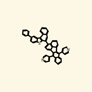 c1ccc(-c2ccc3sc4c(-c5ccc6c7c(cccc57)-c5c-6c(-c6ccncc6)c6ccccc6c5-c5ccncc5)cc5ccccc5c4c3c2)cc1